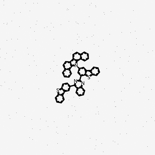 c1ccc2c(c1)ccc1c3ccc4ccccc4c3n(-c3cc(-c4nc(-c5ccc6sc7ccccc7c6c5)c5ccccc5n4)c4sc5ccccc5c4c3)c21